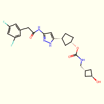 O=C(Cc1cc(F)cc(F)c1)Nc1cc([C@@H]2CC[C@H](OC(=O)NC[C@H]3C[C@H](O)C3)C2)[nH]n1